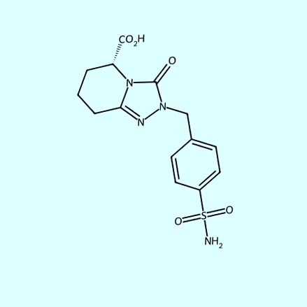 NS(=O)(=O)c1ccc(Cn2nc3n(c2=O)[C@@H](C(=O)O)CCC3)cc1